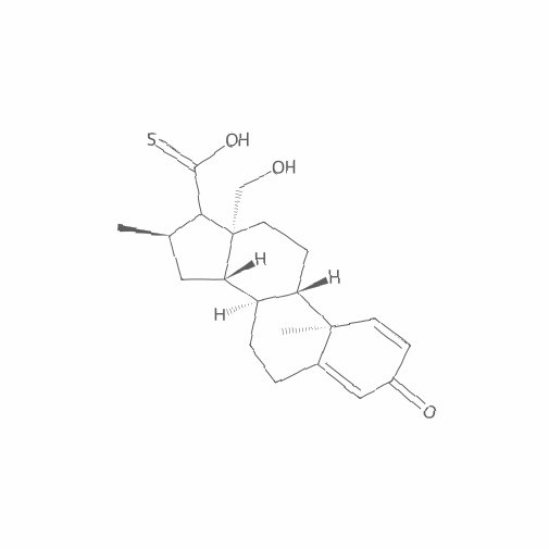 C[C@@H]1C[C@H]2[C@@H]3CCC4=CC(=O)C=C[C@]4(C)[C@H]3CC[C@]2(CO)C1C(O)=S